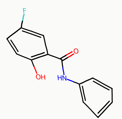 O=C(Nc1ccccc1)c1cc(F)ccc1O